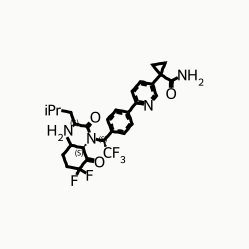 CC(C)C[C@H](N)C(=O)N([C@@H]1C(=O)C(F)(F)CCC1C)[C@@H](c1ccc(-c2ccc(C3(C(N)=O)CC3)cn2)cc1)C(F)(F)F